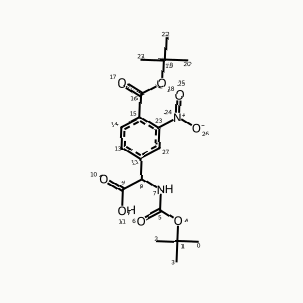 CC(C)(C)OC(=O)NC(C(=O)O)c1ccc(C(=O)OC(C)(C)C)c([N+](=O)[O-])c1